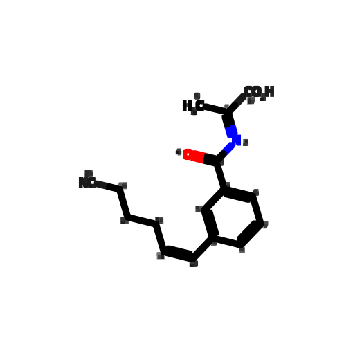 C/C(=N\C(=O)c1cccc(/C=C\CCCC#N)c1)C(=O)O